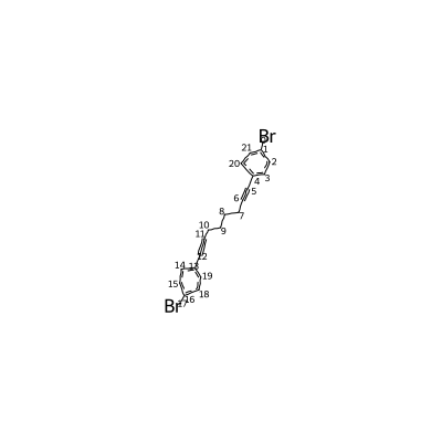 Brc1ccc(C#CCCCCC#Cc2ccc(Br)cc2)cc1